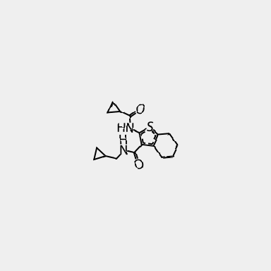 O=C(NCC1CC1)c1c(NC(=O)C2CC2)sc2c1CCCC2